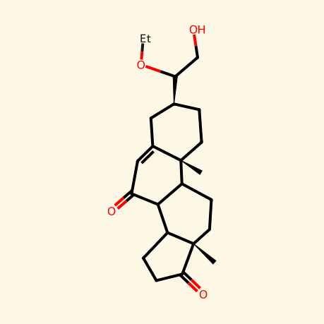 CCOC(CO)[C@H]1CC[C@@]2(C)C(=CC(=O)C3C2CC[C@]2(C)C(=O)CCC32)C1